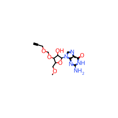 C#CCOCOC1C(COC)OC(n2cnc3c(=O)[nH]c(N)nc32)C1O